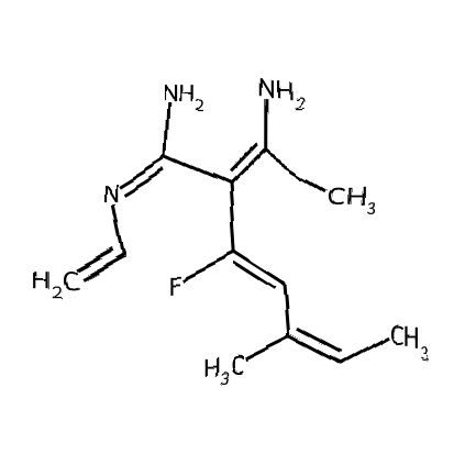 C=C\N=C(N)/C(C(/F)=C/C(C)=C\C)=C(/C)N